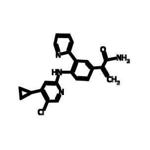 C=C(C(N)=O)c1ccc(Nc2cc(C3CC3)c(Cl)cn2)c(-c2ccccn2)c1